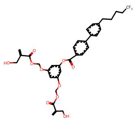 C=C(CO)C(=O)OCOc1cc(OCOC(=O)C(=C)CO)cc(OC(=O)c2ccc(-c3ccc(CCCCC(F)(F)F)cc3)cc2)c1